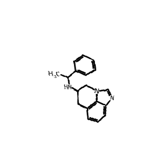 CC(NC1Cc2cccc3ncn(c23)C1)c1ccccc1